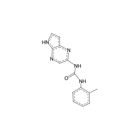 Cc1ccccc1NC(=O)Nc1cnc2[nH]ccc2n1